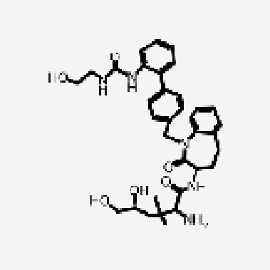 CC(C)(C[C@H](O)CO)C(N)C(=O)N[C@@H]1CCc2ccccc2N(Cc2ccc(-c3ccccc3NC(=O)NCCO)cc2)C1=O